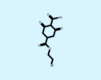 CCCC(=O)C1C(=O)CC(C(=O)OCCC(C)C)CC1=O